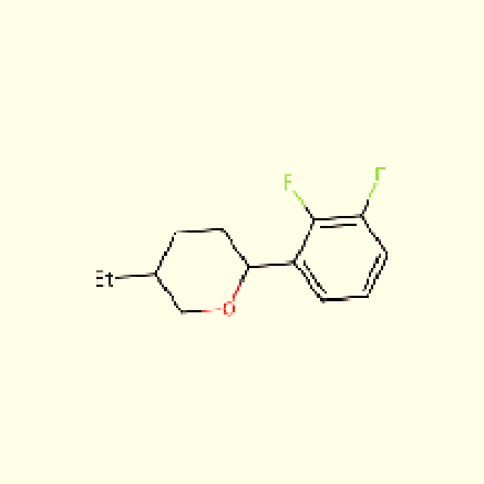 CCC1CCC(c2cccc(F)c2F)OC1